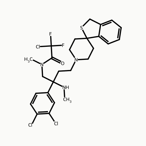 CNC(CCN1CCC2(CC1)SCc1ccccc12)(CN(C)C(=O)C(F)(F)Cl)c1ccc(Cl)c(Cl)c1